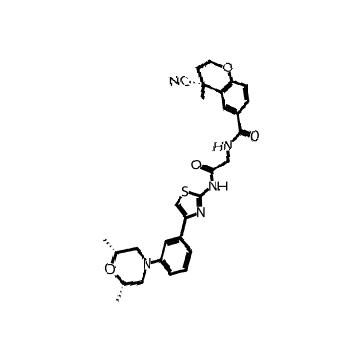 C[C@@H]1CN(c2cccc(-c3csc(NC(=O)CNC(=O)c4ccc5c(c4)[C@](C)(C#N)CCO5)n3)c2)C[C@H](C)O1